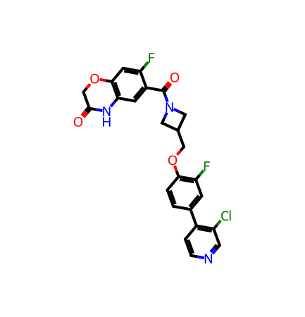 O=C1COc2cc(F)c(C(=O)N3CC(COc4ccc(-c5ccncc5Cl)cc4F)C3)cc2N1